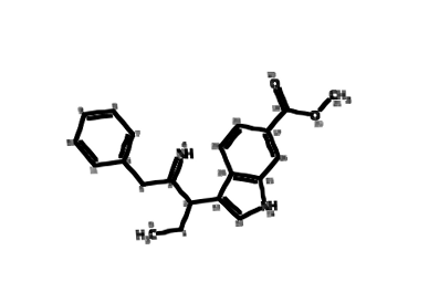 CCC(C(=N)Cc1ccccc1)c1c[nH]c2cc(C(=O)OC)ccc12